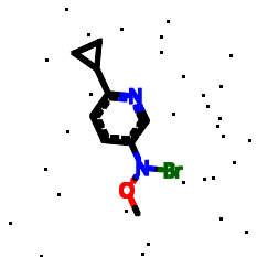 CON(Br)c1ccc(C2CC2)nc1